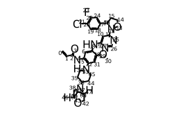 C=CC(=O)Nc1cc(Nc2cc(N3OCC[C@@H]3c3ccc(Cl)c(F)c3)ncn2)c(OC)cc1N1CCC(N2C[C@@H]3C[C@H]2CO3)CC1